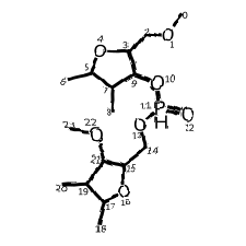 COCC1OC(C)C(C)C1O[PH](=O)OCC1OC(C)C(C)C1OC